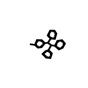 Cc1ccc(C(c2ccccc2)C(c2ccccc2)c2ccccc2)cc1